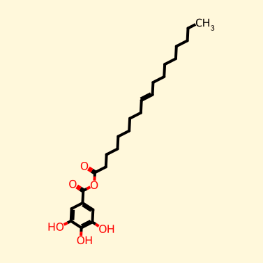 CCCCCCCCC=CCCCCCCCC(=O)OC(=O)c1cc(O)c(O)c(O)c1